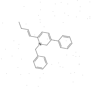 CCC=CC1=CC=C(c2ccccc2)CN1Cc1ccccc1